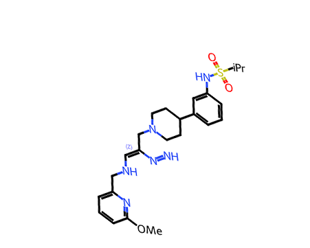 COc1cccc(CN/C=C(/CN2CCC(c3cccc(NS(=O)(=O)C(C)C)c3)CC2)N=N)n1